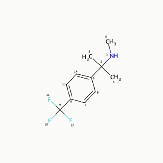 CNC(C)(C)c1ccc(C(F)(F)F)cc1